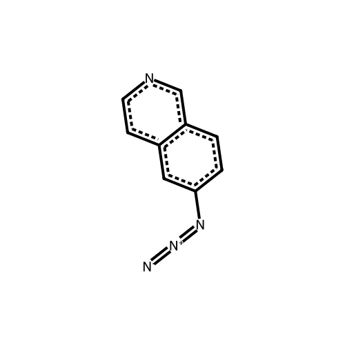 [N-]=[N+]=Nc1ccc2cnccc2c1